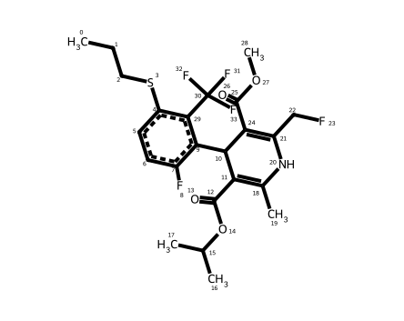 CCCSc1ccc(F)c(C2C(C(=O)OC(C)C)=C(C)NC(CF)=C2C(=O)OC)c1C(F)(F)F